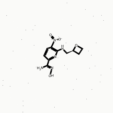 NC(=NO)c1ccc([N+](=O)[O-])c(NC[C@@H]2CCO2)n1